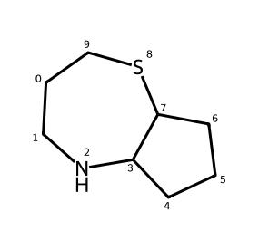 C1CNC2CCCC2SC1